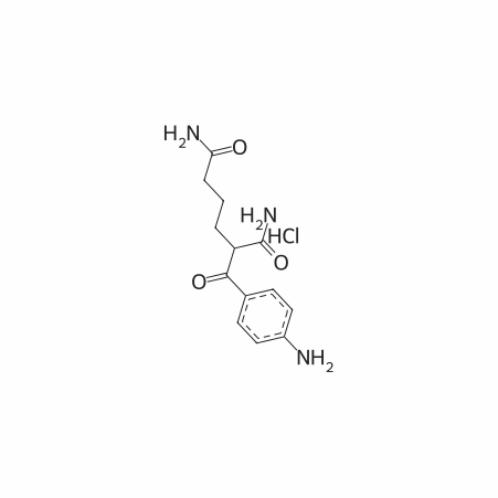 Cl.NC(=O)CCCC(C(N)=O)C(=O)c1ccc(N)cc1